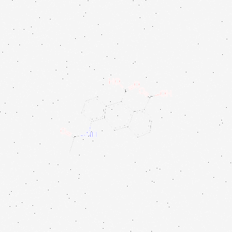 CC(=O)Nc1cccc2c(C(=O)O)c3c(C(=O)O)cccc3cc12